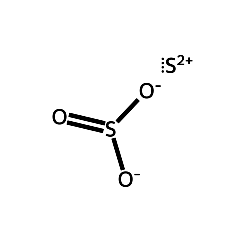 O=S([O-])[O-].[S+2]